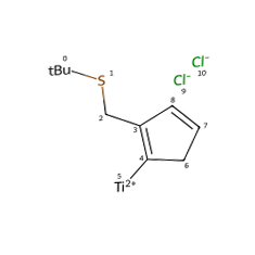 CC(C)(C)SCC1=[C]([Ti+2])CC=C1.[Cl-].[Cl-]